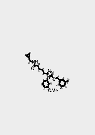 COc1cccc(-n2c(CCCCC(=O)NCC3CC3)nnc2SCc2cccc(C)c2)c1